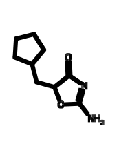 NC1=NC(=O)C(CC2CCCC2)O1